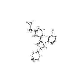 Clc1cccc(-c2nc(N3CCNCC3)sc2-c2ccnc(NC3CC3)n2)c1